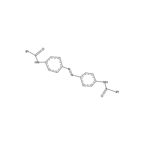 CC(C)C(=O)Nc1ccc(/N=N/c2ccc(NC(=O)C(C)C)cc2)cc1